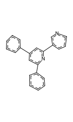 c1ccc(-c2cc(-c3ccccc3)nc(-c3cccnc3)c2)cc1